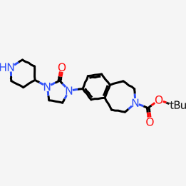 CC(C)(C)OC(=O)N1CCc2ccc(N3CCN(C4CCNCC4)C3=O)cc2CC1